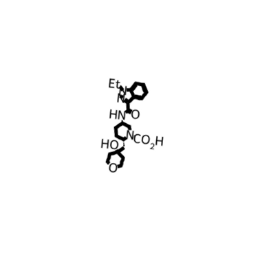 CCn1nc(C(=O)N[C@H]2CC[C@@H](CC3(O)CCOCC3)N(C(=O)O)C2)c2ccccc21